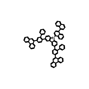 c1ccc(-c2cc(-c3cc4ccccc4c4ccccc34)ccc2-c2ccc3c(c2)c2cc(-c4ccc(-c5cc6ccccc6c6ccccc56)cc4-c4ccccc4)ccc2n3-c2ccc(-c3cccc4ccccc34)c3ccccc23)cc1